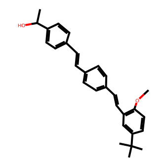 COc1ccc(C(C)(C)C)cc1/C=C/c1ccc(/C=C/c2ccc(C(C)O)cc2)cc1